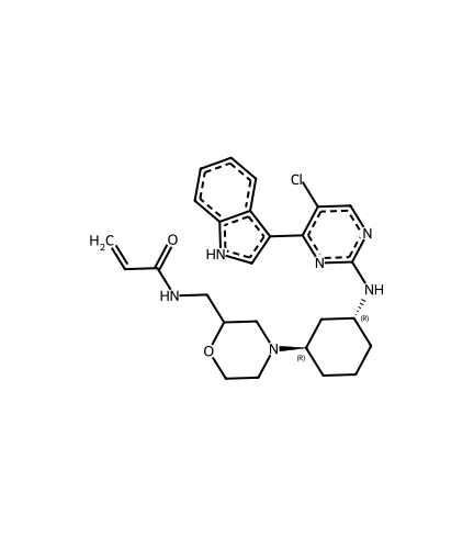 C=CC(=O)NCC1CN([C@@H]2CCC[C@@H](Nc3ncc(Cl)c(-c4c[nH]c5ccccc45)n3)C2)CCO1